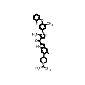 Cc1cc(-n2ncc(C(=O)c3cc4cc(F)c(C5CCN(C(C)C)CC5)cc4[nH]3)c2N)ccc1Oc1ccccc1F